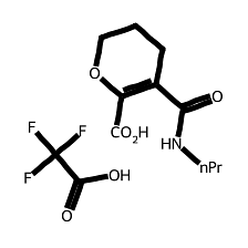 CCCNC(=O)C1=C(C(=O)O)OCCC1.O=C(O)C(F)(F)F